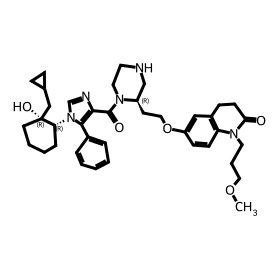 COCCCN1C(=O)CCc2cc(OCC[C@@H]3CNCCN3C(=O)c3ncn([C@@H]4CCCC[C@@]4(O)CC4CC4)c3-c3ccccc3)ccc21